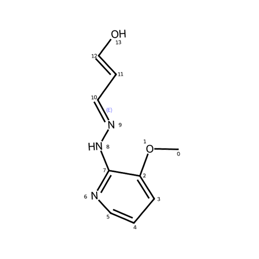 COc1cccnc1N/N=C/C=CO